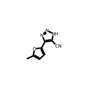 Cc1ccc(-c2nn[nH]c2C#N)o1